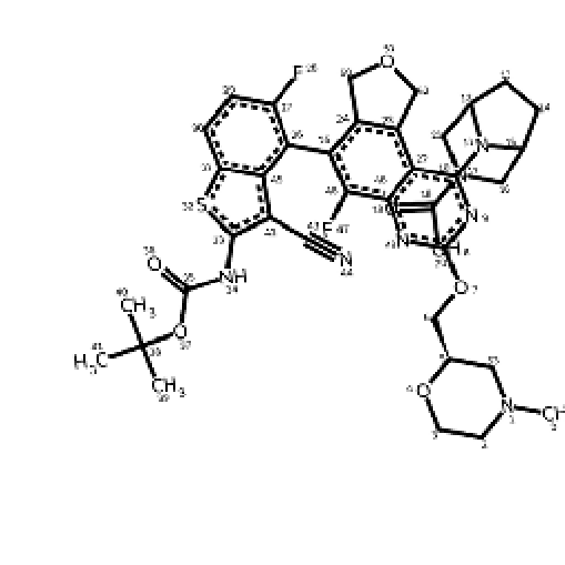 CN1CCO[C@@H](COc2nc(N3C4CCC3CN(C(=O)O)C4)c3c4c(c(-c5c(F)ccc6sc(NC(=O)OC(C)(C)C)c(C#N)c56)c(F)c3n2)COC4)C1